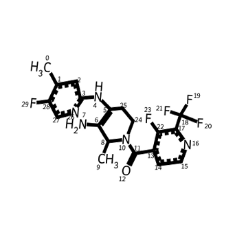 Cc1cc(NC2=C(N)C(C)N(C(=O)c3ccnc(C(F)(F)F)c3F)CC2)ncc1F